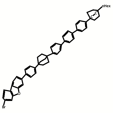 CCCCCCC12CCC(c3ccc(-c4ccc(-c5ccc(C67CCC(c8ccc(-c9ccc%10c(c9)oc9cc(Br)ccc9%10)cc8)(CC6)CC7)cc5)cc4)cc3)(CC1)CC2